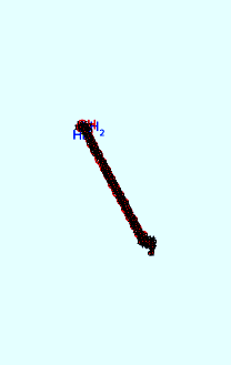 CC(C)CCC[C@@H](C)[C@H]1CC[C@H]2[C@@H]3CC=C4CC(OC(=O)CCOCCOCCOCCOCCOCCOCCOCCOCCOCCOCCOCCOCCOCCOCCOCCOCCOCCOCCOCCOCCOCCOCCOCCOCCNC(=O)CSC[C@H](N)C(=O)O)CC[C@]4(C)[C@H]3CC[C@]12C